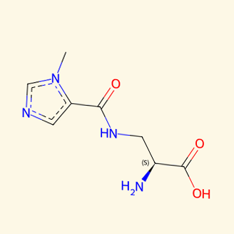 Cn1cncc1C(=O)NC[C@H](N)C(=O)O